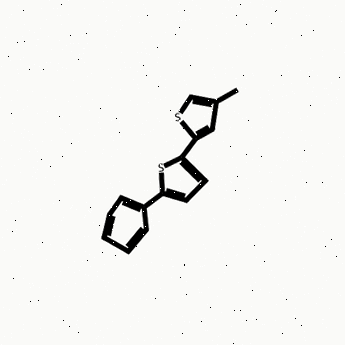 Cc1csc(-c2ccc(-c3ccccc3)s2)c1